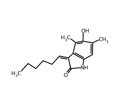 CCCCC/C=C1\C(=O)Nc2cc(C)c(O)c(C)c21